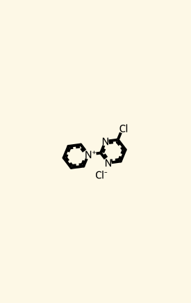 Clc1ccnc(-[n+]2ccccc2)n1.[Cl-]